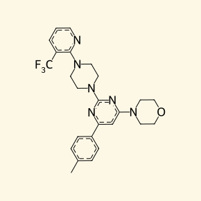 Cc1ccc(-c2cc(N3CCOCC3)nc(N3CCN(c4ncccc4C(F)(F)F)CC3)n2)cc1